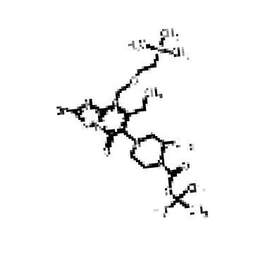 CCc1c(N2CCN(C(=O)OC(C)(C)C)[C@H](C)C2)c(=O)n2nc(Br)nc2n1COCC[Si](C)(C)C